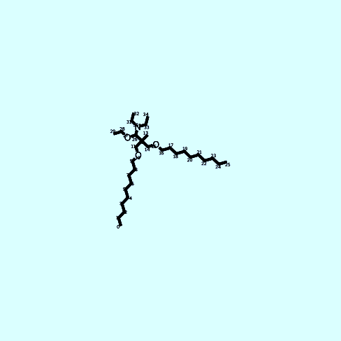 CCCCCCCCCCOCC(C)(COCCCCCCCCCC)C(OCC)N(CC)CC